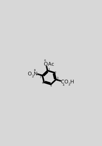 CC(=O)Oc1cc(C(=O)O)ccc1[N+](=O)[O-]